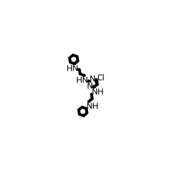 Clc1cc(NCCCNC2CCCCC2)nc(NCCCNC2CCCCC2)n1